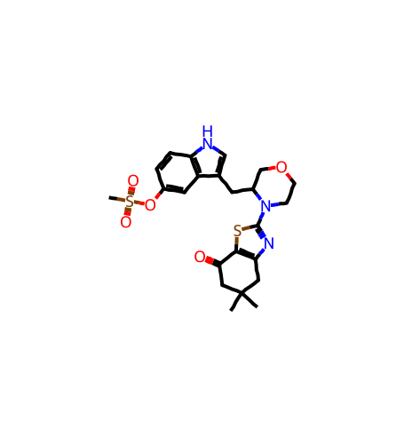 CC1(C)CC(=O)c2sc(N3CCOCC3Cc3c[nH]c4ccc(OS(C)(=O)=O)cc34)nc2C1